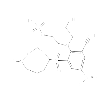 C#Cc1cc([N+](=O)[O-])cc(S(=O)(=O)C2CCCN(C)CCC2)c1N(CCC)CCOS(C)(=O)=O